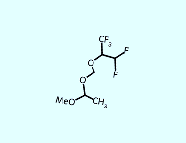 COC(C)OCOC(C(F)F)C(F)(F)F